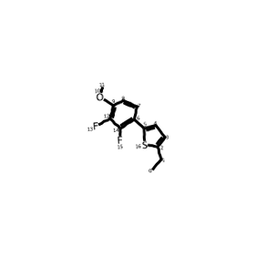 CCc1ccc(-c2ccc(OC)c(F)c2F)s1